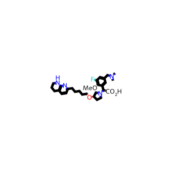 COc1c(F)cc(CN(C)C)cc1C(C(=O)O)N1CC[C@@H](OCCCCCc2ccc3c(n2)NCCC3)C1